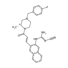 C[C@@H]1CN(Cc2ccc(F)cc2)CCN1C(=O)C=Cc1cc2ccccc2cc1NC(N)=NC#N